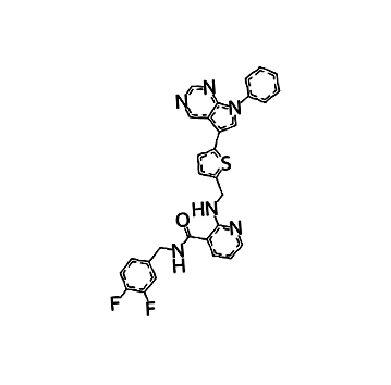 O=C(NCc1ccc(F)c(F)c1)c1cccnc1NCc1ccc(-c2cn(-c3ccccc3)c3ncncc23)s1